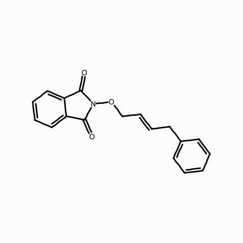 O=C1c2ccccc2C(=O)N1OCC=CCc1ccccc1